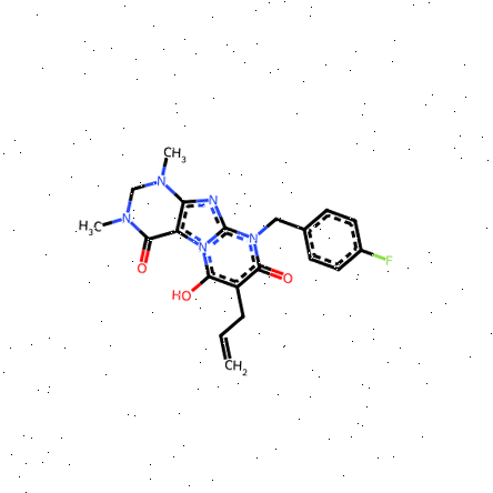 C=CCc1c(O)n2c3c(nc2n(Cc2ccc(F)cc2)c1=O)N(C)CN(C)C3=O